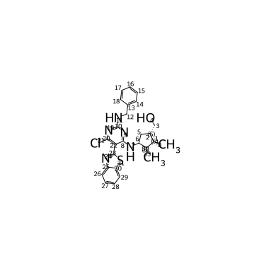 C[C@@H]1[C@@H](CO)CC(Nc2nc(NCc3ccccc3)nc(Cl)c2-c2nc3ccccc3s2)[C@@H]1C